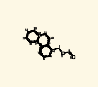 O=COCc1cccc2c1ccc1ccccc12